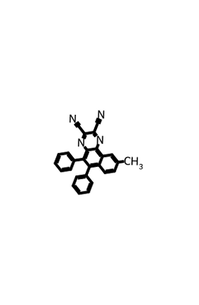 Cc1ccc2c(-c3ccccc3)c(-c3ccccc3)c3nc(C#N)c(C#N)nc3c2c1